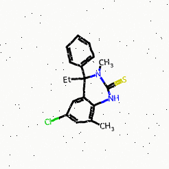 CCC1(c2ccccc2)c2cc(Cl)cc(C)c2NC(=S)N1C